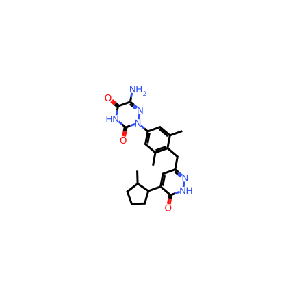 Cc1cc(-n2nc(N)c(=O)[nH]c2=O)cc(C)c1Cc1cc(C2CCCC2C)c(=O)[nH]n1